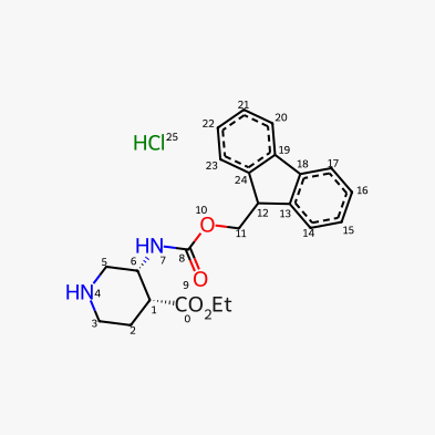 CCOC(=O)[C@@H]1CCNC[C@@H]1NC(=O)OCC1c2ccccc2-c2ccccc21.Cl